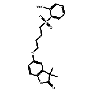 COc1ccccc1S(=O)(=O)CCCCOc1ccc2c(c1)C(C)(C)C(=O)N2